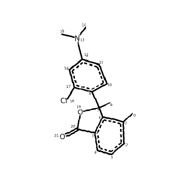 Cc1cccc2c1C(C)(c1ccc(N(C)C)cc1Cl)OC2=O